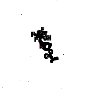 C=C(C)C(=O)OC1CC2C(CC(O)(C(F)(F)F)C(F)(F)F)CC1[C@@H]2C